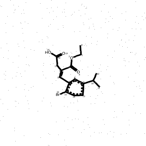 CCOC(=O)C(=Cc1cc(C(C)C)ccc1Br)CC(=O)O